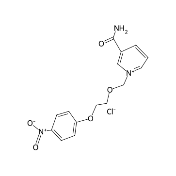 NC(=O)c1ccc[n+](COCCOc2ccc([N+](=O)[O-])cc2)c1.[Cl-]